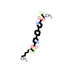 CCCCCC[C@H](OC(=O)c1ccc(-c2ccc(-c3ccc(C(=O)O[C@@H](C)C(F)(F)F)nc3)cc2)cn1)C(F)(F)F